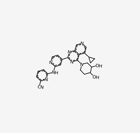 N#Cc1cccc(Nc2cc(-c3nc(N4CCC(O)C(O)C4)c4c(C5CC5)cncc4n3)ccn2)n1